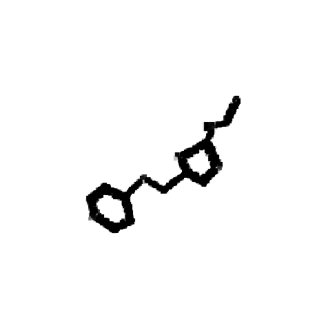 O=CNc1nc(CSc2ccncc2)cs1